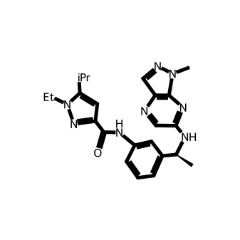 CCn1nc(C(=O)Nc2cccc([C@H](C)Nc3cnc4cnn(C)c4n3)c2)cc1C(C)C